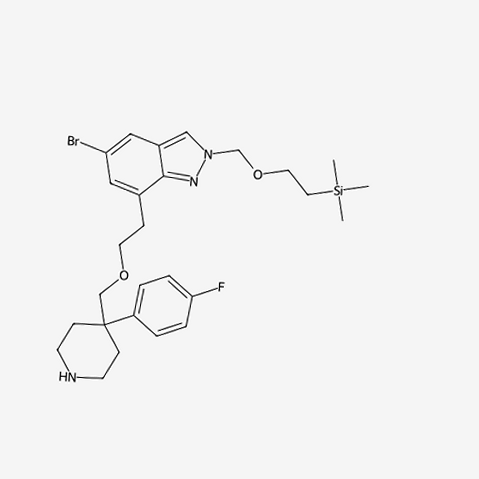 C[Si](C)(C)CCOCn1cc2cc(Br)cc(CCOCC3(c4ccc(F)cc4)CCNCC3)c2n1